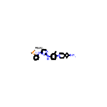 COc1cnc(Nc2ccc(N3CCC4(CC3)CC(N)C4)c(C)c2)nc1Nc1ccccc1P(C)C